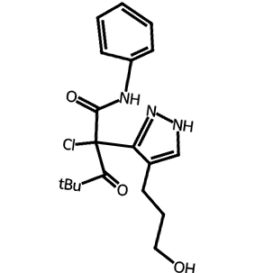 CC(C)(C)C(=O)C(Cl)(C(=O)Nc1ccccc1)c1n[nH]cc1CCCO